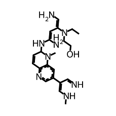 CCN(CCO)C(/C=C(\N)NC1C=Cc2ncc(/C(C=N)=C/NC)cc2N1C)=C/N